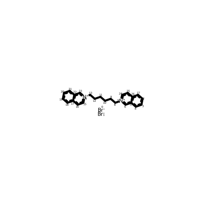 [Br-].[Br-].c1ccc2c[n+](CCCCCC[n+]3ccc4ccccc4c3)ccc2c1